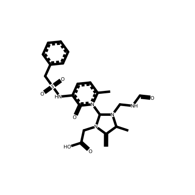 C=C1C(C)N(CNC=O)C(n2c(C)ccc(NS(=O)(=O)Cc3ccccc3)c2=O)N1CC(=O)O